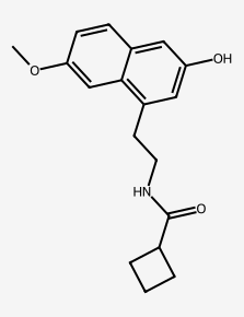 COc1ccc2cc(O)cc(CCNC(=O)C3CCC3)c2c1